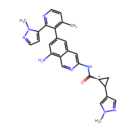 Cc1ccnc(-c2ccnn2C)c1-c1cc(N)c2cnc(NC(=O)[C@H]3CC3c3cnn(C)c3)cc2c1